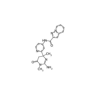 CN1C(=O)CC(C)(c2cc(NC(=O)c3cc4ccccn4n3)ccn2)N=C1N